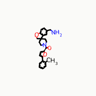 Cc1ccccc1-c1ccc(C(=O)N2CCC3(CC2)COc2ccc(CN)cc23)o1